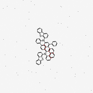 c1ccc(-c2ccccc2N(c2cc(-c3ccccc3)c3cc(-c4ccccc4)c(N(c4ccccc4-c4ccccc4)c4cccc5c4sc4ccccc45)cc3c2)c2cccc3c2sc2ccccc23)cc1